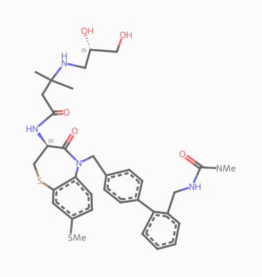 CNC(=O)NCc1ccccc1-c1ccc(CN2C(=O)[C@H](NC(=O)CC(C)(C)NC[C@H](O)CO)CSc3cc(SC)ccc32)cc1